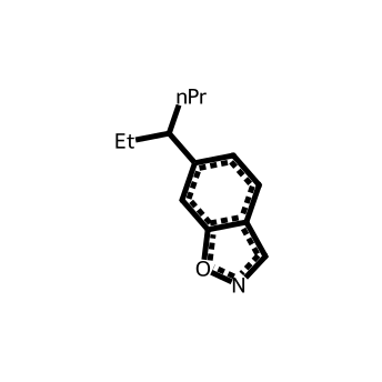 CCCC(CC)c1ccc2cnoc2c1